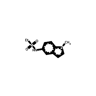 CCS(=O)(=O)Nc1ccc2c(ccn2C)c1